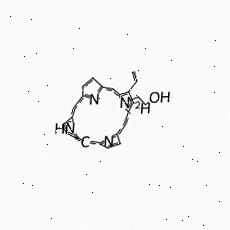 [2H]c1c(C=C)c2cc3nc(cc4ccc(cc5nc(cc1n2CCO)C=C5)[nH]4)C=C3